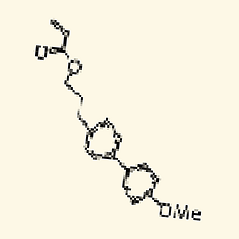 C=CC(=O)OCCCc1ccc(-c2ccc(OC)cc2)cc1